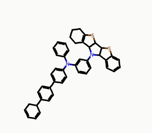 C1=CCC(c2ccc(-c3ccc(N(c4ccccc4)c4cccc(N5C6C7=C(CCCC7)SC6C6Sc7ccccc7C65)c4)cc3)cc2)C=C1